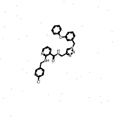 O=C(NCc1cn(Cc2cccc(Oc3ccccc3)c2)nn1)c1cccnc1NCc1ccc(Cl)cc1